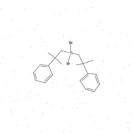 CC(C)([CH2][Ti]([Br])([Br])[CH2]C(C)(C)c1ccccc1)c1ccccc1